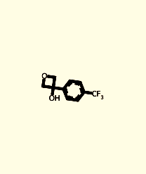 OC1(c2ccc(C(F)(F)F)cc2)COC1